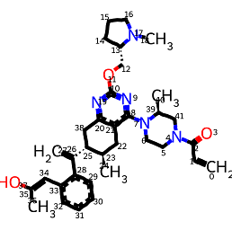 C=CC(=O)N1CCN(c2nc(OC[C@@H]3CCCN3C)nc3c2C[C@@H](C)[C@H](C(=C)c2ccccc2/C=C(\C)O)C3)[C@@H](C)C1